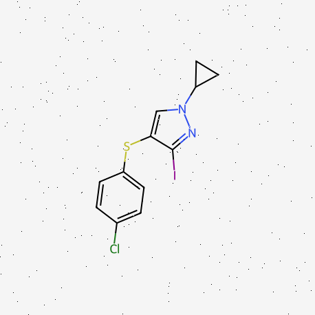 Clc1ccc(Sc2cn(C3CC3)nc2I)cc1